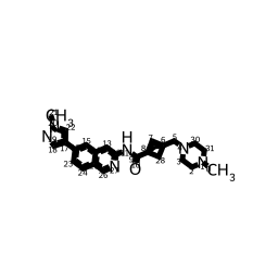 CN1CCN(CC23CC(C(=O)Nc4cc5cc(-c6cnn(C)c6)ccc5cn4)(C2)C3)CC1